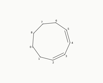 [CH]1CC=CC=CCCC1